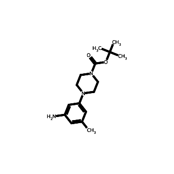 Cc1cc(N)cc(N2CCN(C(=O)OC(C)(C)C)CC2)c1